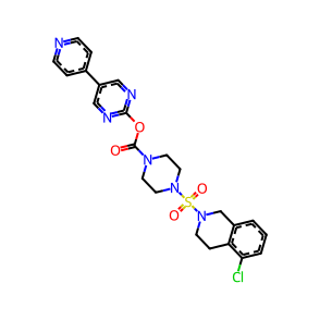 O=C(Oc1ncc(-c2ccncc2)cn1)N1CCN(S(=O)(=O)N2CCc3c(Cl)cccc3C2)CC1